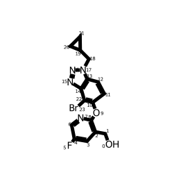 OCc1cc(F)cnc1Oc1ccc2c(nnn2CC2CC2)c1Br